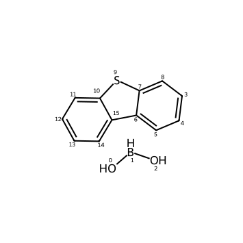 OBO.c1ccc2c(c1)sc1ccccc12